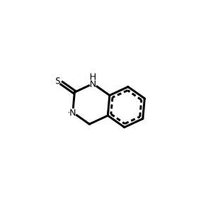 S=C1[N]Cc2ccccc2N1